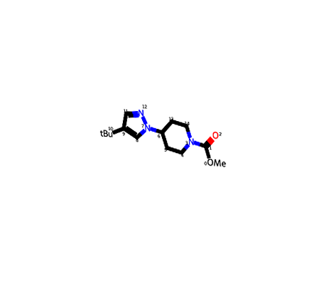 COC(=O)N1CCC(n2cc(C(C)(C)C)cn2)CC1